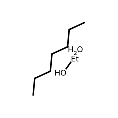 CCCCCCC.CCO.O